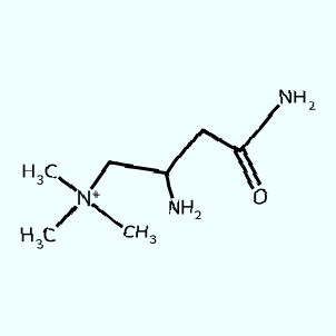 C[N+](C)(C)CC(N)CC(N)=O